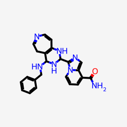 NC(=O)c1cccn2c(C3NC4=C(CC=NC=C4)C(NCc4ccccc4)N3)ncc12